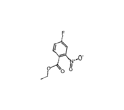 CCOC(=O)c1ccc(F)cc1[N+](=O)[O-]